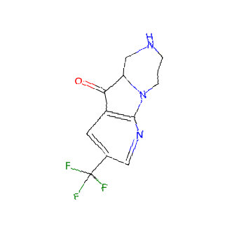 O=C1c2cc(C(F)(F)F)cnc2N2CCNCC12